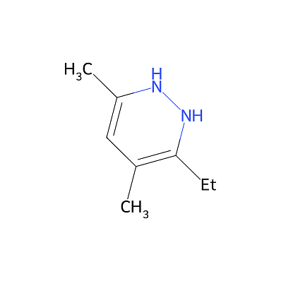 CCC1=C(C)C=C(C)NN1